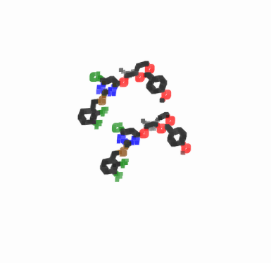 COc1ccc(C2OCC[C@@H]([C@@H](C)Oc3cc(Cl)nc(SCc4cccc(F)c4F)n3)O2)cc1.COc1ccc(C2OCC[C@H]([C@@H](C)Oc3cc(Cl)nc(SCc4cccc(F)c4F)n3)O2)cc1